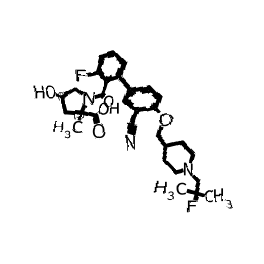 CC(C)(F)CN1CCC(COc2ccc(-c3cccc(F)c3C(=O)N3C[C@H](O)C[C@@]3(C)C(=O)O)cc2C#N)CC1